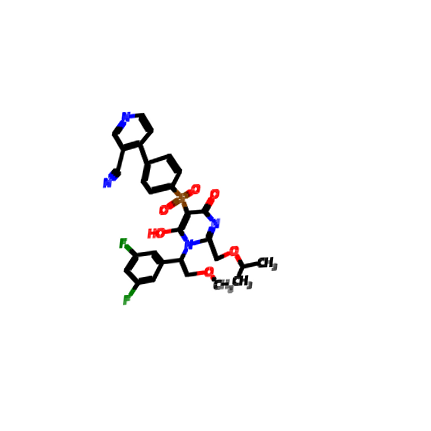 COCC(c1cc(F)cc(F)c1)n1c(COC(C)C)nc(=O)c(S(=O)(=O)c2ccc(-c3ccncc3C#N)cc2)c1O